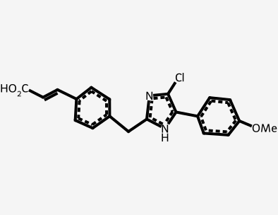 COc1ccc(-c2[nH]c(Cc3ccc(/C=C/C(=O)O)cc3)nc2Cl)cc1